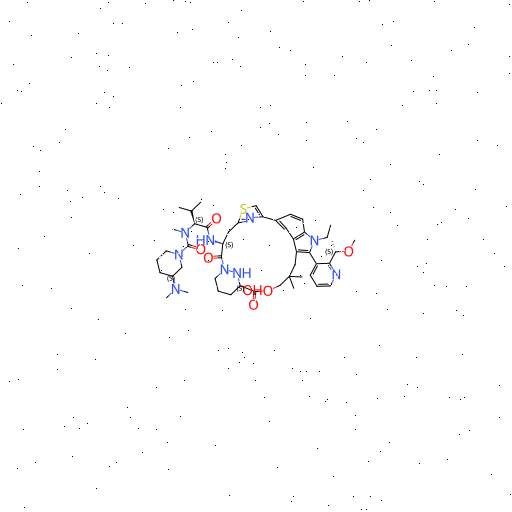 CCn1c(-c2cccnc2[C@H](C)OC)c2c3cc(ccc31)-c1csc(n1)C[C@H](NC(=O)[C@H](C(C)C)N(C)C(=O)N1CCC[C@H](N(C)C)C1)C(=O)N1CCC[C@@](O)(N1)C(=O)OCC(C)(C)C2